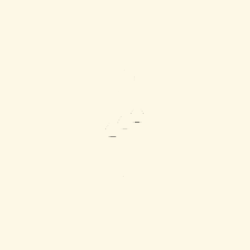 CCCOCOc1c2ccccc2c(OCOCCC)c2ccccc12